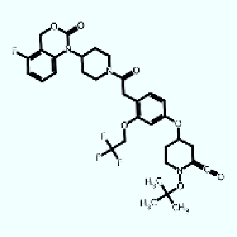 CC(C)(C)ON1CCC(Oc2ccc(CC(=O)N3CCC(N4C(=O)OCc5c(F)cccc54)CC3)c(OCC(F)(F)F)c2)CC1=C=O